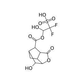 O=C(OC(O)C(F)(F)S(=O)(=O)O)C1C2CC3C(OC(=O)C31)C2O